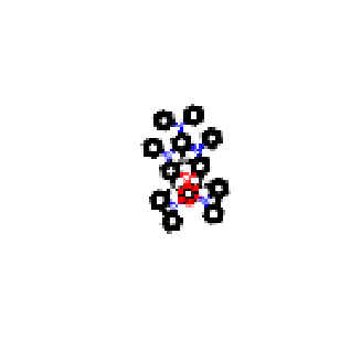 c1ccc(N(c2ccccc2)c2cc3c4c(c2)N(c2ccccc2)c2ccc5c(c2B4c2c(ccc4c2Oc2cccc6c2B4c2cccc4c7ccccc7n-6c24)N3c2ccccc2)Oc2cccc3c2B5c2cccc4c5ccccc5n-3c24)cc1